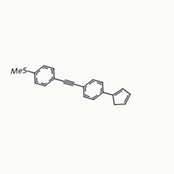 CSc1ccc(C#Cc2ccc(C3=CC=CC3)cc2)cc1